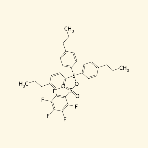 CCCc1ccc(S(OS(=O)(=O)c2c(F)c(F)c(F)c(F)c2F)(c2ccc(CCC)cc2)c2ccc(CCC)cc2)cc1